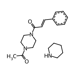 C1CCNCC1.CC(=O)N1CCN(C(=O)C=Cc2ccccc2)CC1